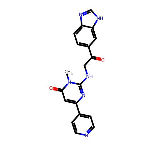 Cn1c(NCC(=O)c2ccc3nc[nH]c3c2)nc(-c2ccncc2)cc1=O